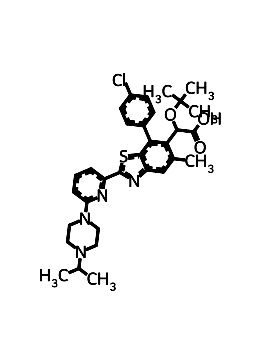 Cc1cc2nc(-c3cccc(N4CCN(C(C)C)CC4)n3)sc2c(-c2ccc(Cl)cc2)c1C(OC(C)(C)C)C(=O)O